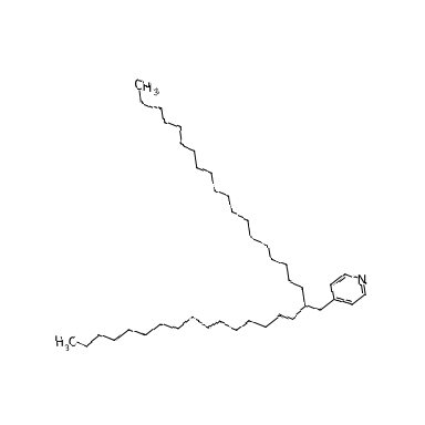 CCCCCCCCCCCCCCCCCCCC(CCCCCCCCCCCCCCCC)Cc1ccncc1